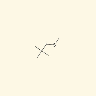 CS[CH]C(C)(C)C